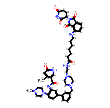 CN1CCN(c2ccc(-c3cccc(CN4CCN(CCNC(=O)CCCCCCNc5cccc6c5C(=O)N(C5CCC(=O)NC5=O)C6=O)CC4)c3)cc2NC(=O)c2c[nH]c(=O)cc2C(F)(F)F)CC1